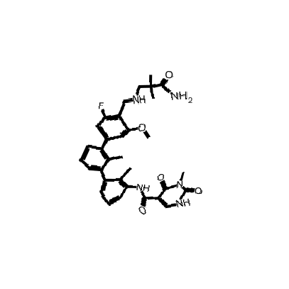 COc1cc(-c2cccc(-c3cccc(NC(=O)c4c[nH]c(=O)n(C)c4=O)c3C)c2C)cc(F)c1CNCC(C)(C)C(N)=O